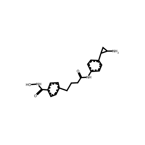 NC1CC1c1ccc(NC(=O)CCCc2ccc(C(=O)NO)cc2)cc1